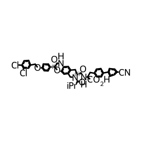 CC(C)C(=O)N1Cc2cc3c(cc2C[C@H]1C(=O)NC(Cc1ccc(-c2ccc(C#N)cc2)cc1)C(=O)O)NC(=O)[C@H](c1ccc(OCc2ccc(Cl)c(Cl)c2)cc1)O3